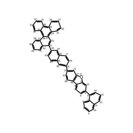 c1ccc2c(-c3ccc4c(c3)oc3cc(-c5ccc6cc(-c7cc8c9ccccc9c9ccccc9c8c8ccccc78)ccc6c5)ccc34)cccc2c1